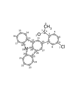 C[S+]([O-])c1ccc(Cl)cc1-c1cc2c3ccccc3n3c4ccccc4c(c1)c23